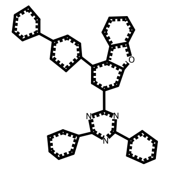 c1ccc(-c2ccc(-c3cc(-c4nc(-c5ccccc5)nc(-c5ccccc5)n4)cc4oc5ccccc5c34)cc2)cc1